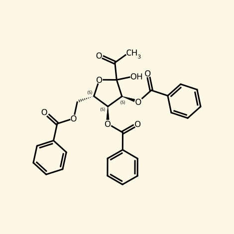 CC(=O)C1(O)O[C@@H](COC(=O)c2ccccc2)[C@H](OC(=O)c2ccccc2)[C@@H]1OC(=O)c1ccccc1